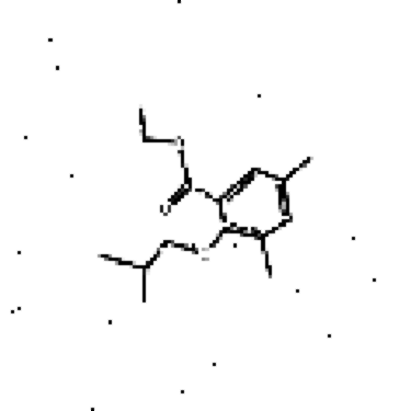 CCOC(=O)c1cc(C)cc(C)c1OCC(C)C